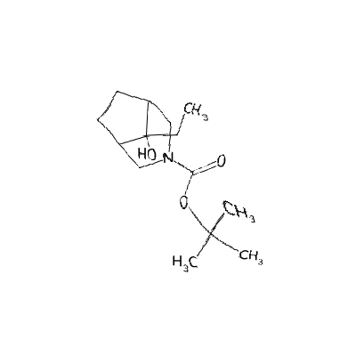 CCC1(O)C2CCC1CN(C(=O)OC(C)(C)C)C2